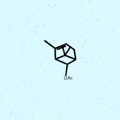 CC(=O)OC1C2CC=C(C)C1C2(C)C